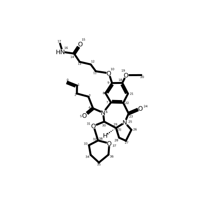 C=CCCC(=O)N1c2cc(OCCCC(=O)NC)c(OC)cc2C(=O)N2CCC[C@H]2C1OC1CCCCO1